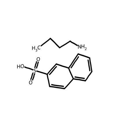 CCCCN.O=S(=O)(O)c1ccc2ccccc2c1